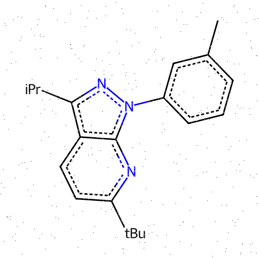 Cc1cccc(-n2nc(C(C)C)c3ccc(C(C)(C)C)nc32)c1